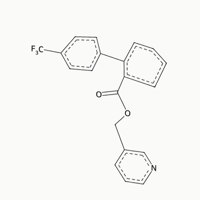 O=C(OCc1cccnc1)c1ccccc1-c1ccc(C(F)(F)F)cc1